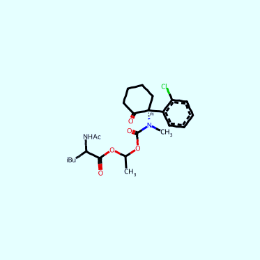 CCC(C)C(NC(C)=O)C(=O)OC(C)OC(=O)N(C)[C@@]1(c2ccccc2Cl)CCCCC1=O